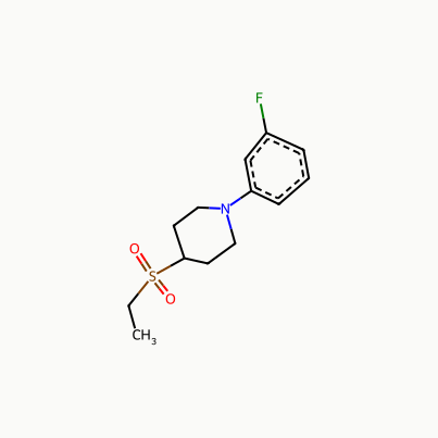 CCS(=O)(=O)C1CCN(c2cccc(F)c2)CC1